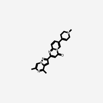 Cc1cn2nc(-c3cc(=O)n4cc(C5=CCN(C)CC5)ccc4n3)cc2c(C)n1